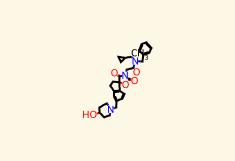 CC(C1CC1)N(Cc1ccccc1)C(=O)CN1C(=O)OC2(CCc3cc(CN4CCC(O)CC4)ccc32)C1=O